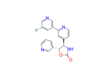 O=C1N[C@H](c2ccnc(-c3cncc(F)c3)c2)[C@@H](c2cccnc2)O1